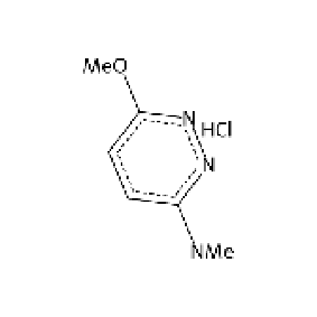 CNc1ccc(OC)nn1.Cl